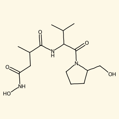 CC(CC(=O)NO)C(=O)NC(C(=O)N1CCCC1CO)C(C)C